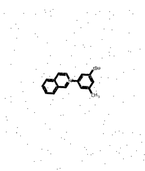 Cc1cc(-[n+]2ccc3ccccc3c2)cc(C(C)(C)C)c1